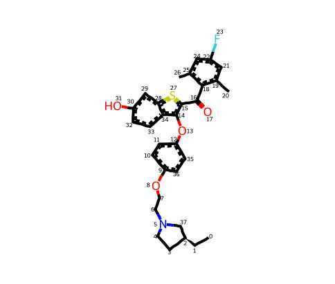 CC[C@H]1CCN(CCOc2ccc(Oc3c(C(=O)c4c(C)cc(F)cc4C)sc4cc(O)ccc34)cc2)C1